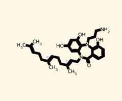 CC(C)=CCC/C(C)=C/CC/C(C)=C/CN1C(=O)c2cccc(O)c2N(CCCN)c2c(O)cc(O)cc21